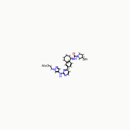 COCCn1cc(Nc2nccc(-c3ccc4c(c3)CCCCC4NC(=O)N3CCC(C(C)C)C3)n2)cn1